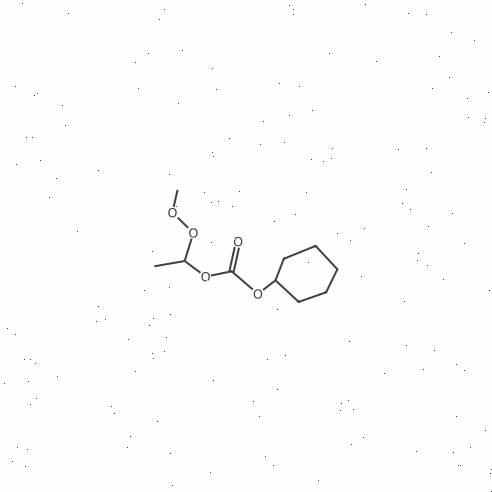 COOC(C)OC(=O)OC1CCCCC1